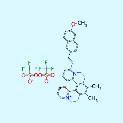 COc1ccc2cc(/C=C/c3cccc4[n+]3CCc3c(C)c(C)c5c(c3-4)-c3c4ccccc4cc[n+]3CC5)ccc2c1.O=S(=O)([O-])C(F)(F)F.O=S(=O)([O-])C(F)(F)F